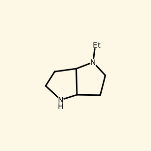 CCN1CCC2NCCC21